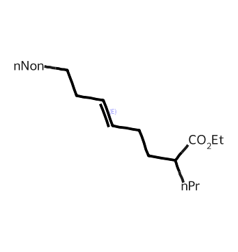 CCCCCCCCCCC/C=C/CCC(CCC)C(=O)OCC